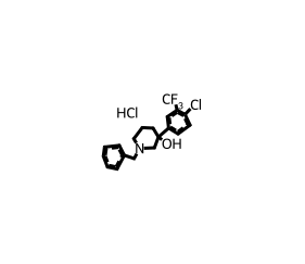 Cl.OC1(c2ccc(Cl)c(C(F)(F)F)c2)CCCN(Cc2ccccc2)C1